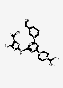 Cc1nc(Nc2nc(N3CCN(C(C)C)CC3)cc(N3CCCC(CO)C3)n2)sc1C(=O)O